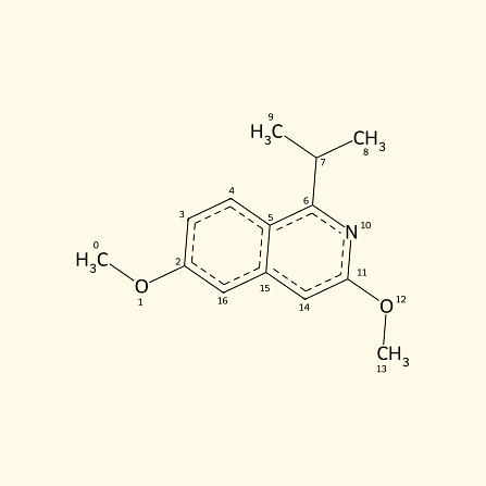 COc1ccc2c(C(C)C)nc(OC)cc2c1